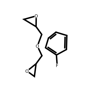 C(OCC1CO1)C1CO1.Fc1ccccc1